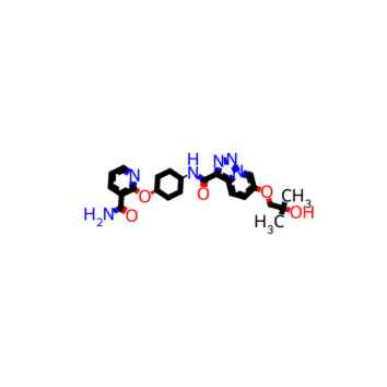 CC(C)(O)COc1ccc2c(C(=O)N[C@H]3CC[C@H](Oc4ncccc4C(N)=O)CC3)nnn2c1